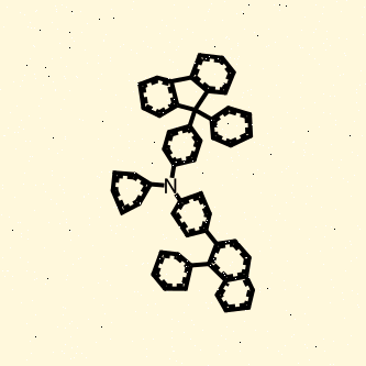 c1ccc(-c2c(-c3ccc(N(c4ccccc4)c4ccc(C5(c6ccccc6)c6ccccc6-c6ccccc65)cc4)cc3)ccc3ccccc23)cc1